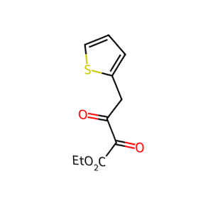 CCOC(=O)C(=O)C(=O)Cc1cccs1